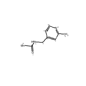 Cc1cc(CNC(=O)C(C)(C)C)ccn1